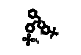 CS(=O)(=O)[O-].FC(F)(F)c1cnc2c(c1)C[N+](Cc1ccccc1)(Cc1ccccc1)C2